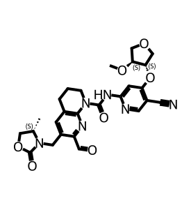 CO[C@H]1COC[C@@H]1Oc1cc(NC(=O)N2CCCc3cc(CN4C(=O)OC[C@@H]4C)c(C=O)nc32)ncc1C#N